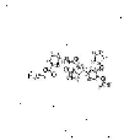 CCOC(=O)c1cccc(CNC(=O)[C@H]2CC(c3ccc(OC(F)F)c(OC4CCCC4)c3)CN2C(C)=O)n1